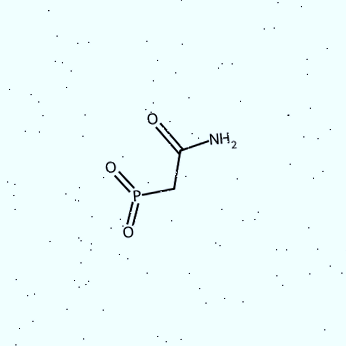 NC(=O)CP(=O)=O